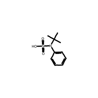 CC(C)(C)N(c1cc[c]cc1)S(=O)(=O)O